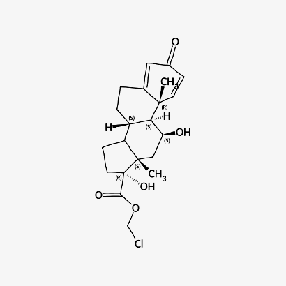 C[C@]12C=CC(=O)C=C1CC[C@H]1C3CC[C@](O)(C(=O)OCCl)[C@@]3(C)C[C@H](O)[C@@H]12